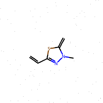 C=CC1=NN(C)C(=C)S1